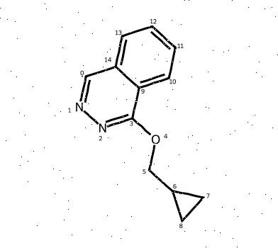 [c]1nnc(OCC2CC2)c2ccccc12